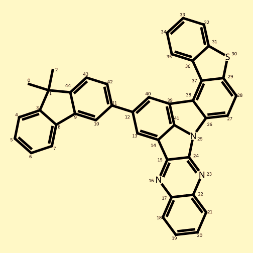 CC1(C)c2ccccc2-c2cc(-c3cc4c5nc6ccccc6nc5n5c6ccc7sc8ccccc8c7c6c(c3)c45)ccc21